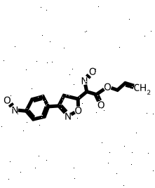 C=CCOC(=O)C(N=O)C1CC(c2ccc(N=O)cc2)=NO1